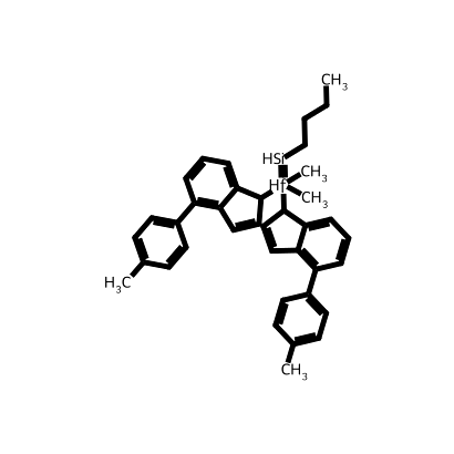 CCCC[SiH]=[Hf]([CH3])([CH3])([CH]1C=Cc2c(-c3ccc(C)cc3)cccc21)[CH]1C=Cc2c(-c3ccc(C)cc3)cccc21